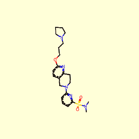 CN(C)S(=O)(=O)c1cccc(N2CCc3nc(OCCCN4CCCC4)ccc3C2)n1